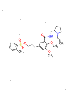 C=CCN1CCC[C@H]1CNC(=O)c1cc(CCCOS(=O)(=O)c2ccccc2C)cc(OC)c1OC